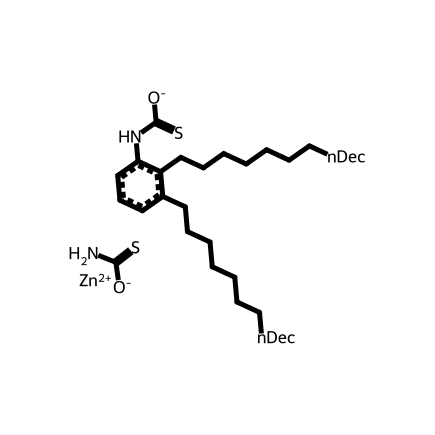 CCCCCCCCCCCCCCCCCc1cccc(NC([O-])=S)c1CCCCCCCCCCCCCCCCC.NC([O-])=S.[Zn+2]